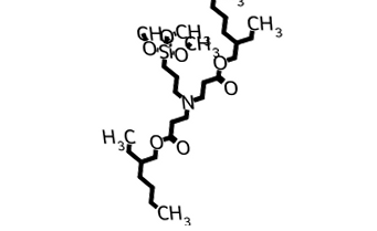 CCCCC(CC)COC(=O)CCN(CCC[Si](OC)(OC)OC)CCC(=O)OCC(CC)CCCC